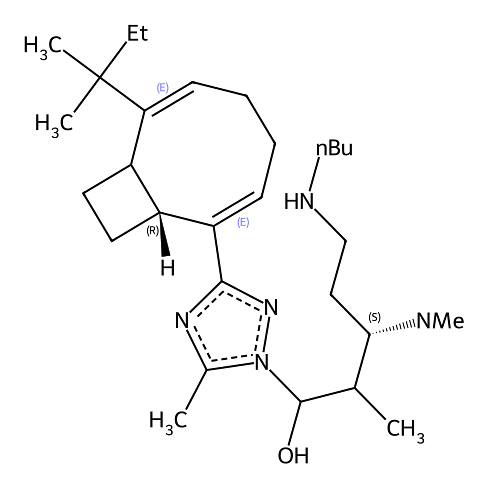 CCCCNCC[C@H](NC)C(C)C(O)n1nc(/C2=C/CC/C=C(/C(C)(C)CC)C3CC[C@@H]23)nc1C